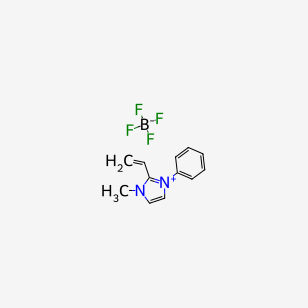 C=Cc1n(C)cc[n+]1-c1ccccc1.F[B-](F)(F)F